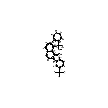 CC(C)(C)c1ccc2sc3c(ccc4ccc5c(c43)C(C)(C)c3ccccc3-5)c2c1